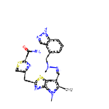 CN(Cc1cccc2[nH]ncc12)/N=C\c1c(C=O)n(C)c2nc(Cc3csc(C(N)=O)n3)sc12